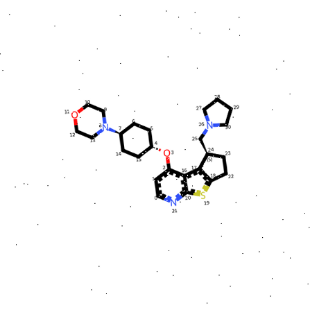 c1cc(O[C@H]2CC[C@H](N3CCOCC3)CC2)c2c3c(sc2n1)CC[C@@H]3CN1CCCC1